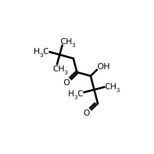 CC(C)(C)CC(=O)C(O)C(C)(C)C=O